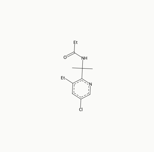 CCC(=O)NC(C)(C)c1ncc(Cl)cc1CC